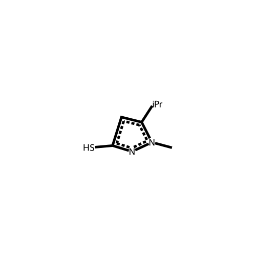 CC(C)c1cc(S)nn1C